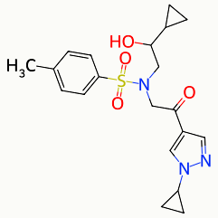 Cc1ccc(S(=O)(=O)N(CC(=O)c2cnn(C3CC3)c2)CC(O)C2CC2)cc1